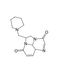 O=C1C=NC2C=CC(=O)N3C(CN4CC[CH]CC4)CN1C23